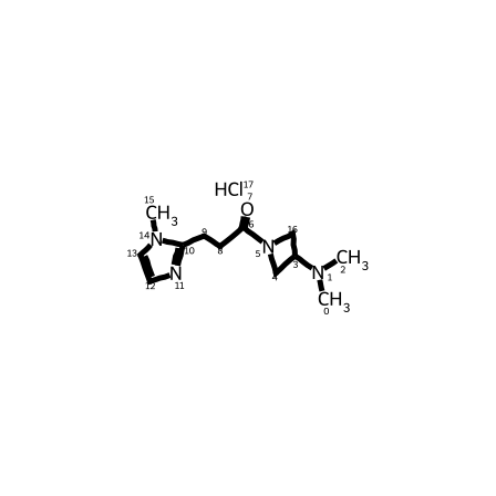 CN(C)C1CN(C(=O)CCc2nccn2C)C1.Cl